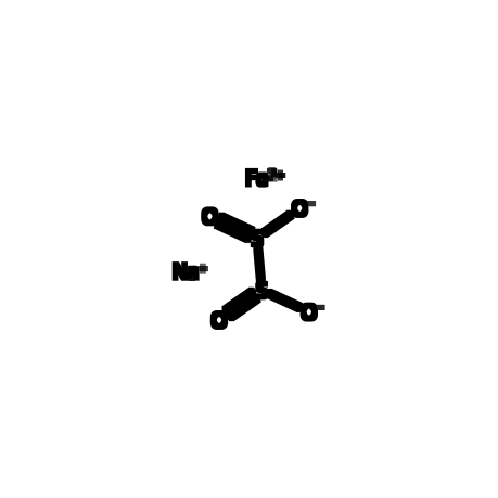 O=S([O-])S(=O)[O-].[Fe+2].[Na+]